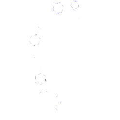 Cn1ccnc1-c1cnc(OC2CCN(c3ccc(CN4CCC(O)(c5ccc6c(c5)CN(C5CCC(=O)NC5=O)C6=O)CC4)cc3)CC2)nc1